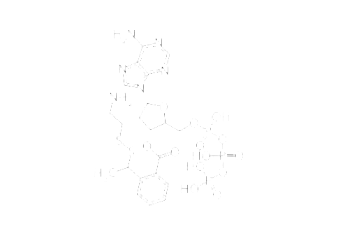 CC(SSCCN)c1ccccc1C(=O)O[C@@H]1C[C@H](n2cnc3c(N)ncnc32)OC1COP(=O)(O)OP(=O)(O)OP(=O)(O)O